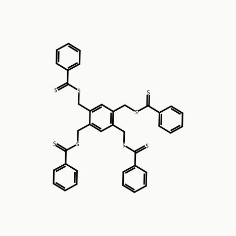 S=C(SCc1cc(CSC(=S)c2ccccc2)c(CSC(=S)c2ccccc2)cc1CSC(=S)c1ccccc1)c1ccccc1